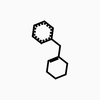 [c]1ccccc1CC1=CCCCC1